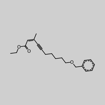 CCOC(=O)/C=C(/C)C#CCCCCCOCc1ccccc1